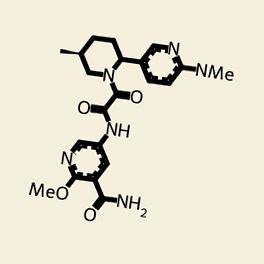 CNc1ccc(C2CC[C@H](C)CN2C(=O)C(=O)Nc2cnc(OC)c(C(N)=O)c2)cn1